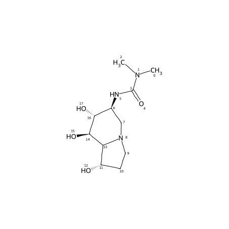 CN(C)C(=O)N[C@H]1CN2CC[C@H](O)C2[C@@H](O)[C@@H]1O